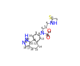 CC(=S)NCC1CN(c2ccc3c(c2)CCCc2cn[nH]c2-3)C(=O)O1